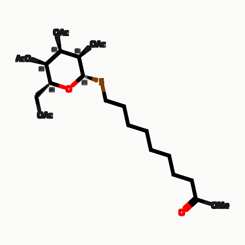 COC(=O)CCCCCCCCS[C@@H]1O[C@H](COC(C)=O)[C@@H](OC(C)=O)[C@@H](OC(C)=O)[C@H]1OC(C)=O